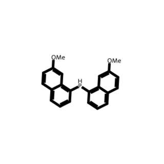 COc1ccc2cccc(Pc3cccc4ccc(OC)cc34)c2c1